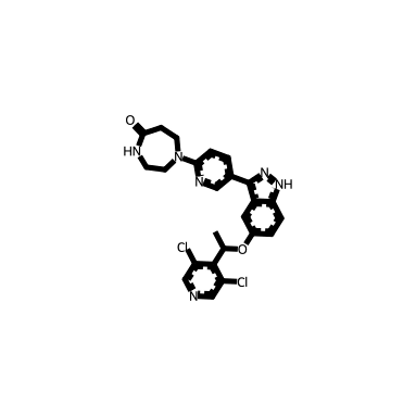 CC(Oc1ccc2[nH]nc(-c3ccc(N4CCNC(=O)CC4)nc3)c2c1)c1c(Cl)cncc1Cl